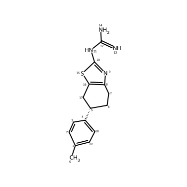 Cc1ccc([C@H]2CCc3nc(NC(=N)N)sc3C2)cc1